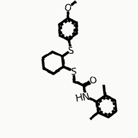 COc1ccc(SC2CCCCC2SCC(=O)Nc2c(C)cccc2C)cc1